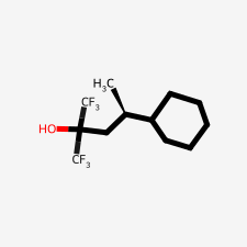 C[C@H](CC(O)(C(F)(F)F)C(F)(F)F)C1CCCCC1